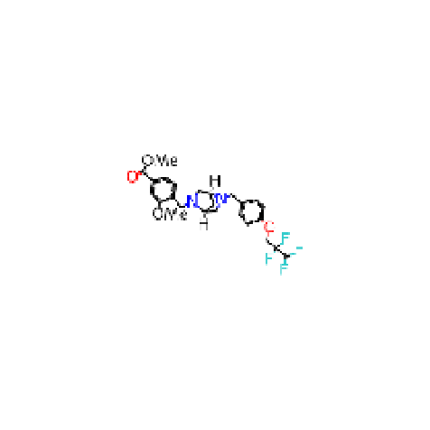 COC(=O)c1ccc(CN2C[C@@H]3C[C@H]2CN3Cc2ccc(OCC(F)(F)C(F)F)cc2)c(OC)c1